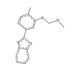 COCOc1cc(-c2nc3ccccc3o2)ccc1C